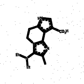 CCN(CC)c1c(C)nc2n1CCc1[nH]cc(C(=O)O)c1-2